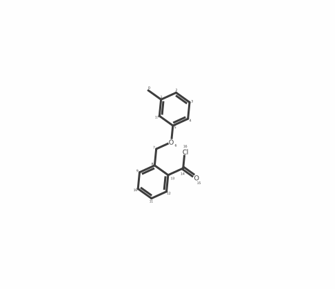 Cc1cccc(OCc2ccccc2C(=O)Cl)c1